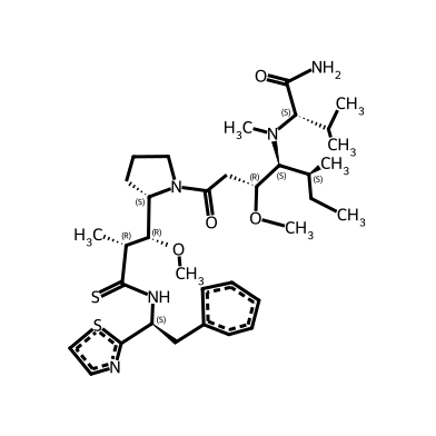 CC[C@H](C)[C@@H]([C@@H](CC(=O)N1CCC[C@H]1[C@H](OC)[C@@H](C)C(=S)N[C@@H](Cc1ccccc1)c1nccs1)OC)N(C)[C@H](C(N)=O)C(C)C